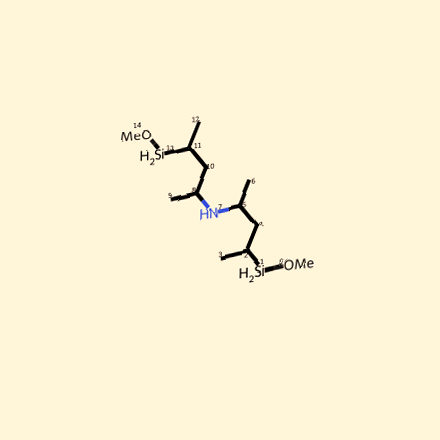 CO[SiH2]C(C)CC(C)NC(C)CC(C)[SiH2]OC